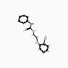 O=C(Nc1ccccc1)OCCOc1ccccc1Cl